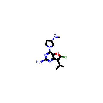 CN[C@@H]1CCN(c2nc(N)nc3c(C(C)C)c(Cl)oc23)C1